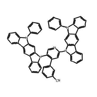 N#Cc1cccc(-c2cc(-n3c4ccccc4c4cc5c6ccccc6n(-c6ccccc6)c5cc43)ncc2-n2c3ccccc3c3cc4c5ccccc5n(-c5ccccc5)c4cc32)c1